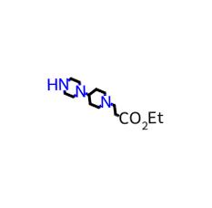 CCOC(=O)CCN1CCC(N2CCNCC2)CC1